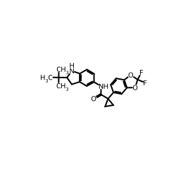 CC(C)(C)C1Cc2cc(NC(=O)C3(c4ccc5c(c4)OC(F)(F)O5)CC3)ccc2N1